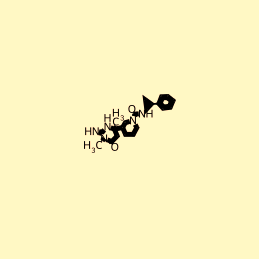 CN1C(=N)N[C@](C)(C2CCCN(C(=O)N[C@@H]3C[C@H]3c3ccccc3)C2)CC1=O